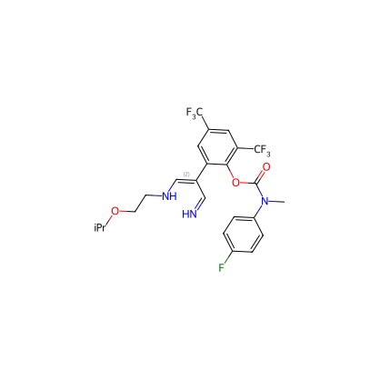 CC(C)OCCN/C=C(\C=N)c1cc(C(F)(F)F)cc(C(F)(F)F)c1OC(=O)N(C)c1ccc(F)cc1